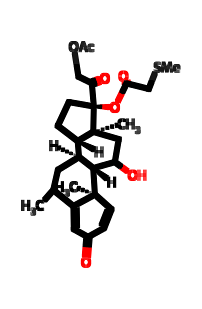 CSCC(=O)O[C@]1(C(=O)COC(C)=O)CC[C@H]2[C@@H]3CC(C)C4=CC(=O)C=C[C@]4(C)[C@H]3C(O)C[C@@]21C